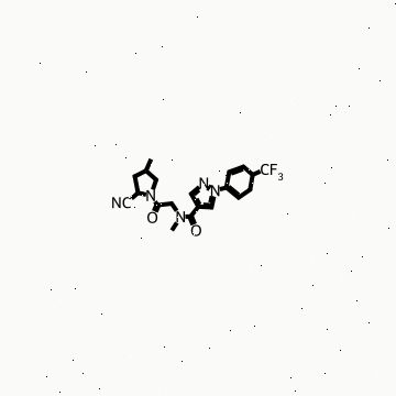 CC1CC(C#N)N(C(=O)CN(C)C(=O)c2cnn(C3=CCC(C(F)(F)F)C=C3)c2)C1